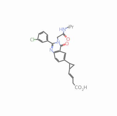 CC(C)NC(=O)Cn1c(-c2cccc(Cl)c2)nc2ccc(C3CC3/C=C/CC(=O)O)cc2c1=O